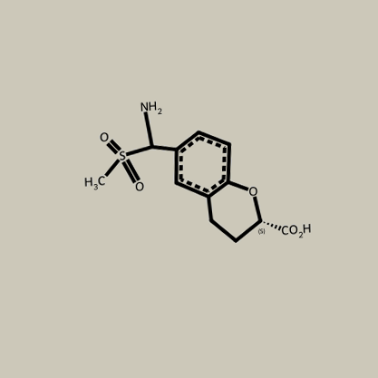 CS(=O)(=O)C(N)c1ccc2c(c1)CC[C@@H](C(=O)O)O2